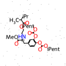 CCCC(C)OC(=O)Oc1ccc(C[C@H](NCCOC(=O)C(C)C(C)C)C(=O)OC)cc1OC(=O)OC(C)CCC